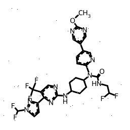 COc1ncc(-c2ccc(N(C(=O)NCC(F)F)C3CCC(Nc4ncc(C(F)(F)F)c(-c5ccn(C(F)F)n5)n4)CC3)nc2)cn1